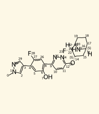 Cn1cc(-c2cc(O)c(-c3ccc(O[C@H]4C[C@@H]5CCC[C@@H](N5)[C@H]4F)nn3)cc2F)cn1